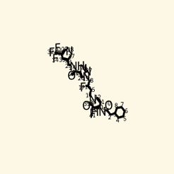 O=C(CC1CCCCC1)Nc1ccn(CCC(F)Cn2cc(C(=O)NCc3cncc(C(F)(F)F)c3)nn2)c(=O)c1F